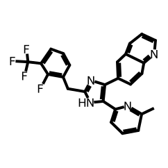 Cc1cccc(-c2[nH]c(Cc3cccc(C(F)(F)F)c3F)nc2-c2ccc3ncccc3c2)n1